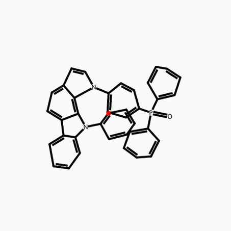 O=P(c1ccccc1)(c1ccccc1)c1ccc(-n2ccc3ccc4c5ccccc5n(-c5ccccc5)c4c32)cc1